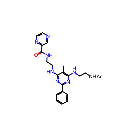 CC(=O)NCCNc1nc(-c2ccccc2)nc(NCCNC(=O)c2cnccn2)c1C